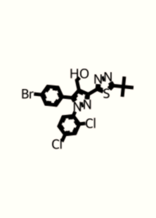 CC(C)(C)c1nnc(-c2nn(-c3ccc(Cl)cc3Cl)c(-c3ccc(Br)cc3)c2CO)s1